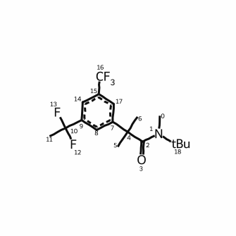 CN(C(=O)C(C)(C)c1cc(C(C)(F)F)cc(C(F)(F)F)c1)C(C)(C)C